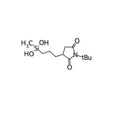 CC(C)(C)N1C(=O)CC(CCC[Si](C)(O)O)C1=O